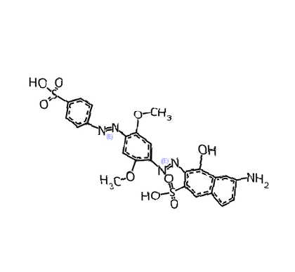 COc1cc(/N=N/c2c(S(=O)(=O)O)cc3ccc(N)cc3c2O)c(OC)cc1/N=N/c1ccc(S(=O)(=O)O)cc1